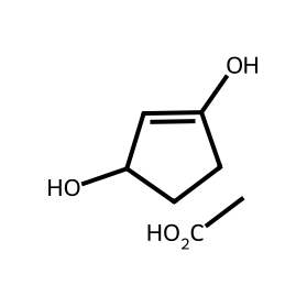 CC(=O)O.OC1=CC(O)CC1